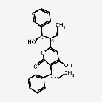 CC[C@H](c1ccccc1)c1c(O)cc([C@H](CC)[C@@H](O)c2ccccc2)oc1=O